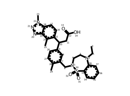 CCN1CCN(Cc2cc(C(CC(=O)O)c3ccc4c(nnn4C)c3C)ccc2C)S(=O)(=O)c2ccccc21